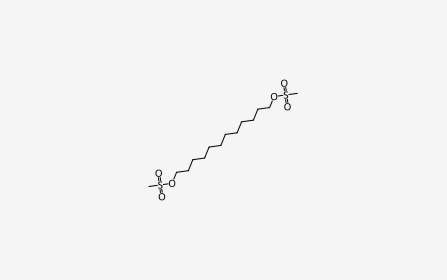 CS(=O)(=O)OCCCCCCCCCCCCOS(C)(=O)=O